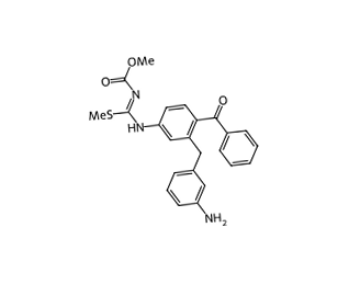 COC(=O)N=C(Nc1ccc(C(=O)c2ccccc2)c(Cc2cccc(N)c2)c1)SC